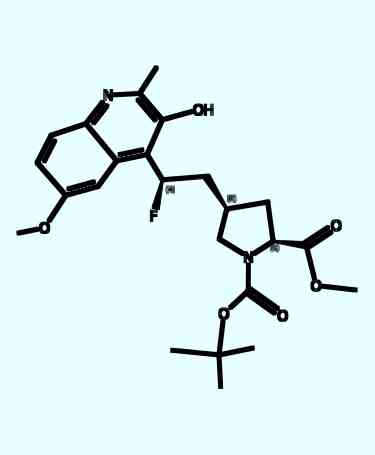 COC(=O)[C@@H]1C[C@H](C[C@@H](F)c2c(O)c(C)nc3ccc(OC)cc23)CN1C(=O)OC(C)(C)C